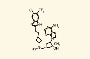 CC(C)N(C[C@H]1C[C@@H](n2ccc3c(N)ncnc32)[C@@](C)(O)C1)[C@H]1C[C@H](CCc2nc3cc(Cl)c(C(F)(F)F)cc3[nH]2)C1